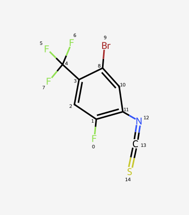 Fc1cc(C(F)(F)F)c(Br)cc1N=C=S